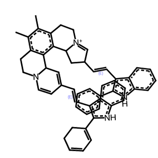 Cc1c(C)c2c(c3c1CCN1C=CC(/C=C/c4c(C5=CC=CCC5)[nH]c5ccccc45)=CC31)C1CC(/C=C/c3c(-c4ccccc4)[nH]c4ccccc34)C=[N+]1CC2